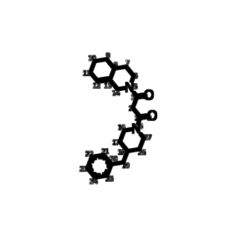 O=C(CC(=O)N1CCC2CCCC=C2C1)N1CCC(Cc2ccccc2)CC1